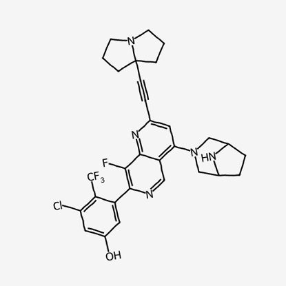 Oc1cc(Cl)c(C(F)(F)F)c(-c2ncc3c(N4CC5CCC(C4)N5)cc(C#CC45CCCN4CCC5)nc3c2F)c1